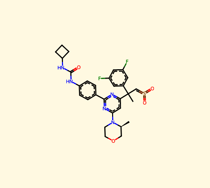 C[C@H]1COCCN1c1cc(C(C)(C=S(=O)=O)c2cc(F)cc(F)c2)nc(-c2ccc(NC(=O)NC3CCC3)cc2)n1